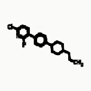 CCCC1CCC(c2ccc(-c3ccc(Cl)nc3F)cc2)CC1